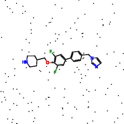 Fc1cc(-c2ccc(Cn3ccnc3)cc2)cc(F)c1OCC1CCNCC1